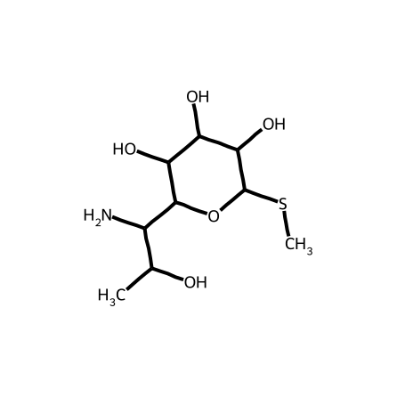 CSC1OC(C(N)C(C)O)C(O)C(O)C1O